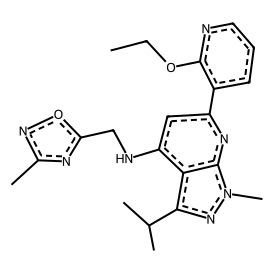 CCOc1ncccc1-c1cc(NCc2nc(C)no2)c2c(C(C)C)nn(C)c2n1